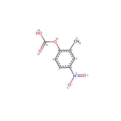 Cc1cc([N+](=O)[O-])ccc1OC(=O)O